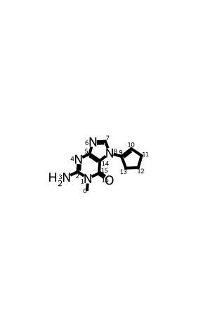 Cn1c(N)nc2ncn(C3=CCCC3)c2c1=O